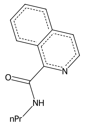 CCCNC(=O)c1nccc2ccccc12